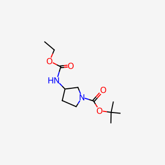 CCOC(=O)NC1CCN(C(=O)OC(C)(C)C)C1